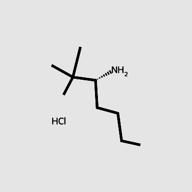 CCCC[C@@H](N)C(C)(C)C.Cl